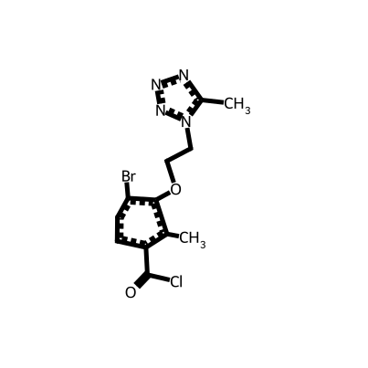 Cc1c(C(=O)Cl)ccc(Br)c1OCCn1nnnc1C